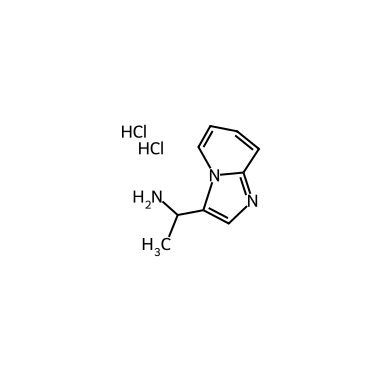 CC(N)c1cnc2ccccn12.Cl.Cl